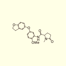 COc1ccc(Oc2ccc3c(c2)CCO3)cc1NC(=O)C1CCC(=O)N1C